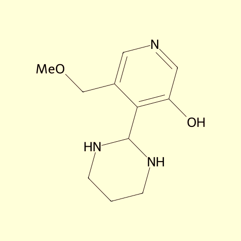 COCc1cncc(O)c1C1NCCCN1